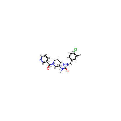 Cc1cc(CNC(=O)N(C)[C@@H]2CCCN(C(=O)c3cccnc3)C2)ccc1Cl